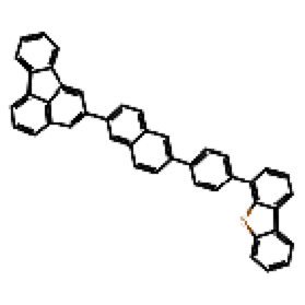 c1ccc2c(c1)-c1cccc3cc(-c4ccc5cc(-c6ccc(-c7cccc8c7sc7ccccc78)cc6)ccc5c4)cc-2c13